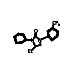 CCC1CN(c2cccc(C(F)(F)F)c2)C(=O)N1c1ccccc1